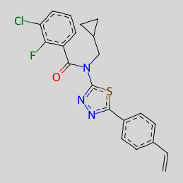 C=Cc1ccc(-c2nnc(N(CC3CC3)C(=O)c3cccc(Cl)c3F)s2)cc1